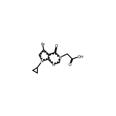 O=C(O)Cn1cnc2c(c(Br)cn2C2CC2)c1=O